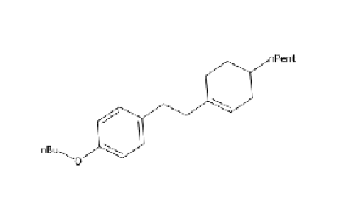 CCCCCC1CC=C(CCc2ccc(OCCCC)cc2)CC1